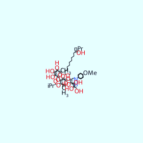 CCC[C@H](O)CCCCCCCCCC(=O)O[C@H]1[C@H](O[C@@H](CNc2ccc(OC)cc2)[C@@H](O)[C@H](O)[C@H](O)CO)O[C@@H](C)[C@H](OC(=O)C(C)C)[C@H]1O[C@@H]1O[C@@H](C)[C@H](O)[C@@H](O)[C@H]1O